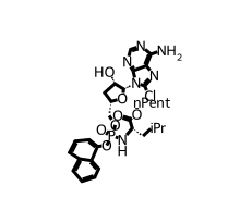 CCCCCOC(=O)[C@H](CC(C)C)NP(=O)(OC[C@@H]1C[C@H](O)[C@H](n2c(Cl)nc3c(N)ncnc32)O1)Oc1cccc2ccccc12